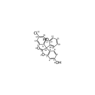 O=C1Oc2cc(O)ccc2C1(c1ccc(Cl)cc1)c1ccccc1O